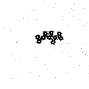 c1ccc2nc3c(-n4c5ccccc5c5cc(-n6c7ccccc7c7ccccc76)ccc54)ccc(-n4c5ccccc5c5cc(-n6c7ccccc7c7ccccc76)ccc54)c3nc2c1